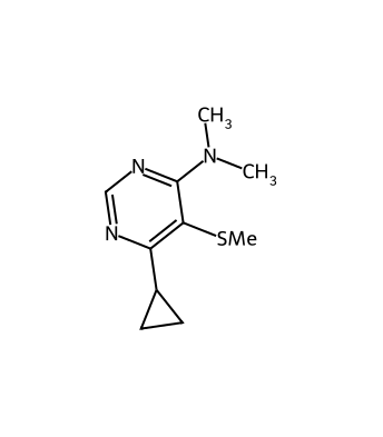 CSc1c(C2CC2)ncnc1N(C)C